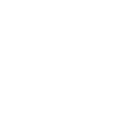 C=Cc1ccc(Oc2ccc(C=O)cc2)cc1